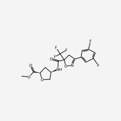 COC(=O)[C@H]1C[C@@H](NC(=O)C2(C(F)(F)F)CC(c3cc(F)cc(F)c3)=NO2)CO1